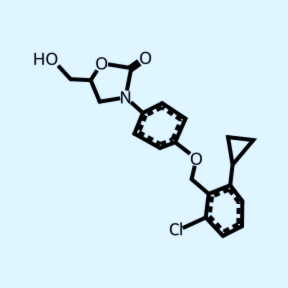 O=C1OC(CO)CN1c1ccc(OCc2c(Cl)cccc2C2CC2)cc1